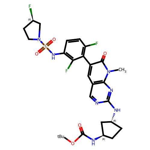 Cn1c(=O)c(-c2c(F)ccc(NS(=O)(=O)N3CC[C@@H](F)C3)c2F)cc2cnc(N[C@@H]3CC[C@@H](NC(=O)OC(C)(C)C)C3)nc21